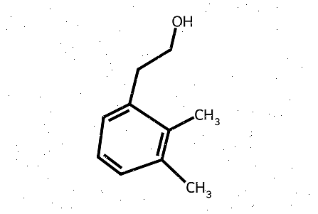 Cc1cccc(CCO)c1C